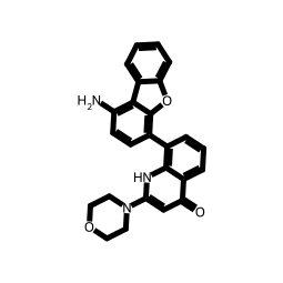 Nc1ccc(-c2cccc3c(=O)cc(N4CCOCC4)[nH]c23)c2oc3ccccc3c12